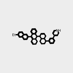 CCc1ccc2cc(C3=C4C=CCCC4C(C4C=CCC5C(c6cccc(C7=CCNC=C7)c6)CCCC45)c4ccccc43)ccc2c1